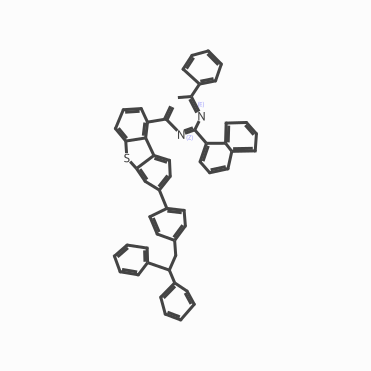 C=C(/N=C(\N=C(/C)c1ccccc1)c1cccc2ccccc12)c1cccc2sc3cc(-c4ccc(CC(c5ccccc5)c5ccccc5)cc4)ccc3c12